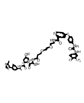 Cc1ncsc1-c1ccc([C@H](C)NC(=O)[C@@H]2C[C@@H](O)CN2C(=O)C(NC(=O)CCOCCOCCNC(=O)c2cc(Oc3ccc(NC(=O)Nc4ccc(Cl)c(C(F)(F)F)c4)cc3)ccn2)C(C)(C)C)cc1